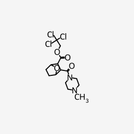 CN1CCN(C(=O)C2C3CCC(O3)C2C(=O)OCC(Cl)(Cl)Cl)CC1